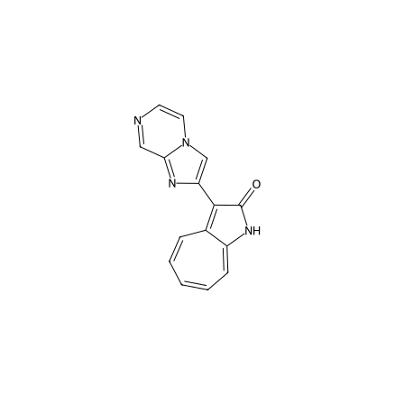 O=c1[nH]c2cccccc-2c1-c1cn2ccncc2n1